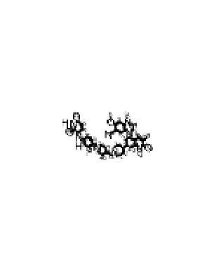 COc1cc2c(cc1C#N)N(c1cc(C3CCN(CC4CCN(c5ccc(NC6CCC(=O)NC6=O)cc5F)CC4)CC3)cc3c1cc(C)c(=O)n3C)CCN2C